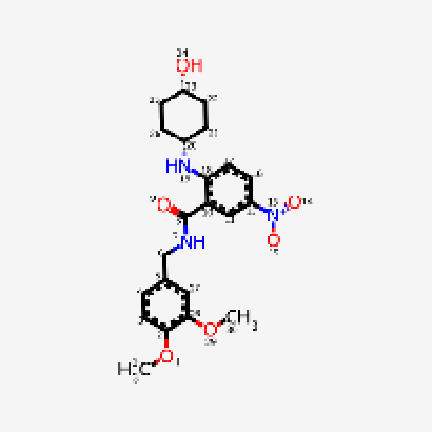 COc1ccc(CNC(=O)c2cc([N+](=O)[O-])ccc2N[C@H]2CC[C@@H](O)CC2)cc1OC